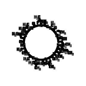 C/C=C/C[C@@H](C)[C@@H](O)[C@H]1C(=O)N[C@@H](CC)C(=O)N(C)CC(=O)N(C)[C@@H](CC(C)C)C(=O)N[C@@H](C(C)C)C(=O)N(C)C(CC(C)C)C(=O)N[C@@H](C)C(=O)N[C@H](C)CN(C)[C@@H](CC(C)C)C(=O)N(C)[C@@H](CC(C)C)C(=O)N(C)C(C(C)C)C(=O)N1C